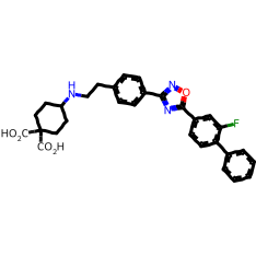 O=C(O)C1(C(=O)O)CCC(NCCc2ccc(-c3noc(-c4ccc(-c5ccccc5)c(F)c4)n3)cc2)CC1